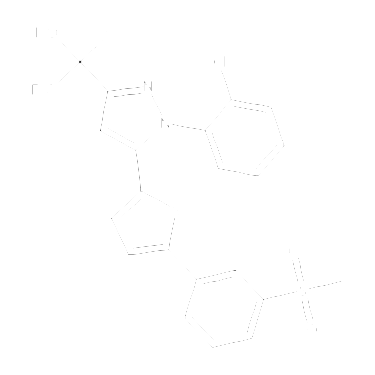 CS(=O)(=O)c1cccc(-c2ccc(-c3cc(C(O)(C(F)(F)F)C(F)(F)F)nn3-c3ccccc3Cl)s2)c1